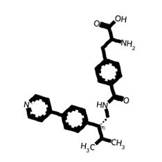 CC(C)[C@@H](CNC(=O)c1ccc(CC(N)C(=O)O)cc1)c1ccc(-c2ccncc2)cc1